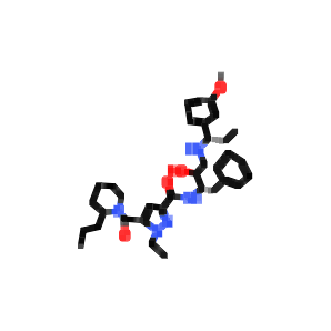 CCCC1CCCCN1C(=O)c1cc(C(=O)N[C@@H](Cc2ccccc2)[C@@H](O)CN[C@@H](CC)c2cccc(OC)c2)nn1CC